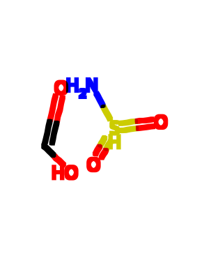 N[SH](=O)=O.O=CO